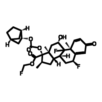 C[C@@H]1C[C@H]2[C@@H]3C[C@H](F)C4=CC(=O)C=C[C@]4(C)C3(F)[C@@H](O)C[C@]2(C)[C@]1(OC(=O)O[C@@H]1C[C@H]2CC[C@@H]1C2)C(=O)OCF